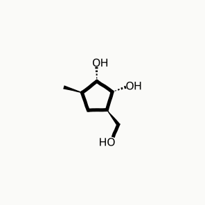 C[C@@H]1C[C@H](CO)[C@@H](O)[C@H]1O